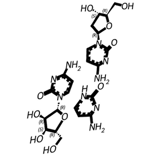 Nc1cc[nH]c(=O)n1.Nc1ccn([C@@H]2O[C@H](CO)[C@@H](O)[C@H]2O)c(=O)n1.Nc1ccn([C@H]2C[C@H](O)[C@@H](CO)O2)c(=O)n1